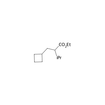 CCOC(=O)C(CC1CCC1)C(C)C